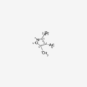 CC(=O)c1c(C(C)C)noc1C